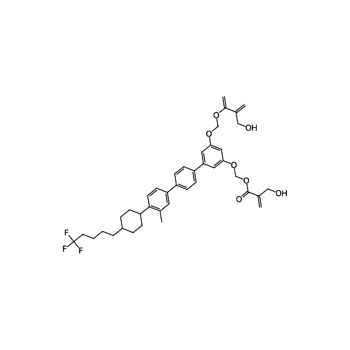 C=C(CO)C(=C)OCOc1cc(OCOC(=O)C(=C)CO)cc(-c2ccc(-c3ccc(C4CCC(CCCCC(F)(F)F)CC4)c(C)c3)cc2)c1